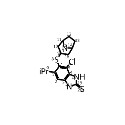 CC(C)c1cc2c(c(Cl)c1SC1CC3CCC(C1)N3C)NC(=S)[N]2